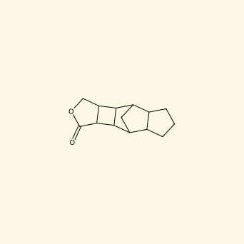 O=C1OCC2C1C1C3CC(C4CCCC43)C21